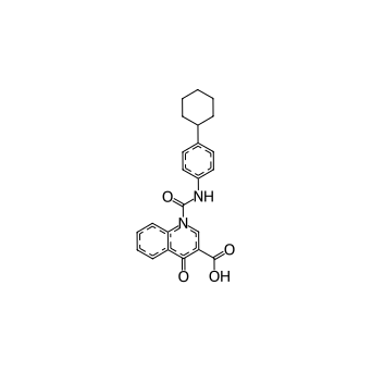 O=C(O)c1cn(C(=O)Nc2ccc(C3CCCCC3)cc2)c2ccccc2c1=O